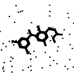 CCN(C)/C=N\c1cc(C)cc(N(C)c2cc(F)cc(Cl)c2)c1Cl